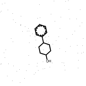 OC1CCC(c2cc[c]cc2)CC1